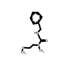 COCCN(C)C(=O)NCc1ccccc1